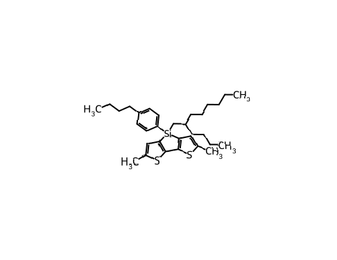 CCCCCCC(CCCC)C[Si]1(c2ccc(CCCC)cc2)c2cc(C)sc2-c2sc(C)cc21